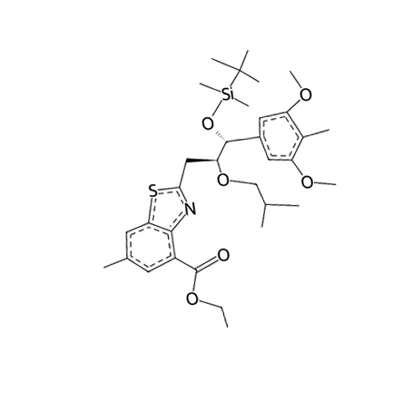 CCOC(=O)c1cc(C)cc2sc(C[C@H](OCC(C)C)[C@H](O[Si](C)(C)C(C)(C)C)c3cc(OC)c(C)c(OC)c3)nc12